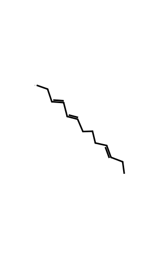 [CH2]CC=CC=CCCCC=CCC